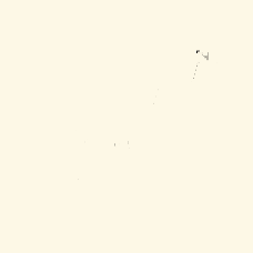 CCOC(=O)CCCCCN.Cl